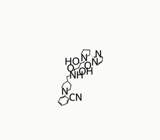 N#Cc1ccccc1N1CCC(CNC(=O)[C@H](O)[C@@H](O)C(=O)N2CCC[C@@H]2c2ncccn2)CC1